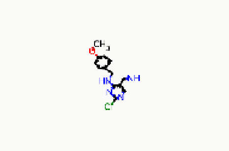 COc1ccc(CNc2nc(Cl)ncc2C=N)cc1